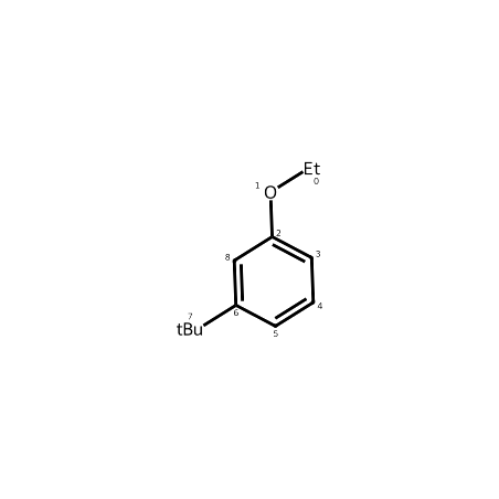 [CH2]COc1cccc(C(C)(C)C)c1